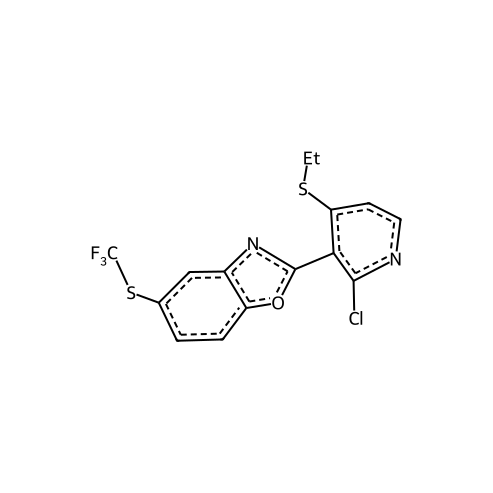 CCSc1ccnc(Cl)c1-c1nc2cc(SC(F)(F)F)ccc2o1